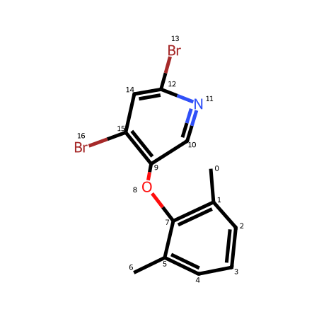 Cc1cccc(C)c1Oc1cnc(Br)cc1Br